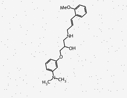 COc1ccccc1/C=C/CNCC(O)COc1cccc(N(C)C)c1